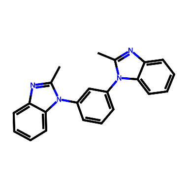 Cc1nc2ccccc2n1-c1cccc(-n2c(C)nc3ccccc32)c1